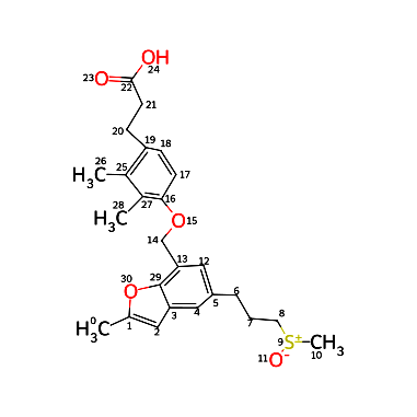 Cc1cc2cc(CCC[S+](C)[O-])cc(COc3ccc(CCC(=O)O)c(C)c3C)c2o1